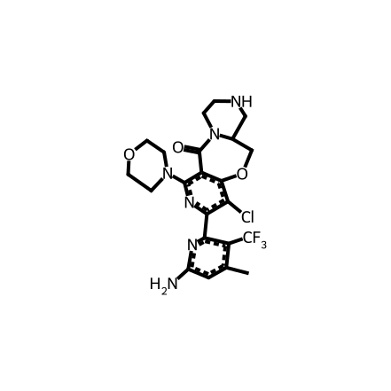 Cc1cc(N)nc(-c2nc(N3CCOCC3)c3c(c2Cl)OCC2CNCCN2C3=O)c1C(F)(F)F